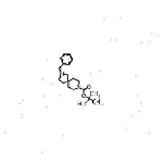 CC(C)(C)OC(=O)N1CCC2(CCN(Cc3ccccc3)C2)CC1